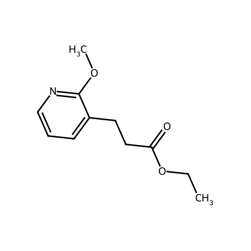 CCOC(=O)CCc1cccnc1OC